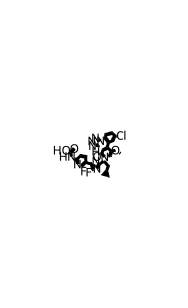 COc1cn(C(CC2CC2)c2nc(F)c(-c3ccc(NC(=O)O)nc3F)[nH]2)c(=O)cc1-c1cc(Cl)ccc1-n1cnnn1